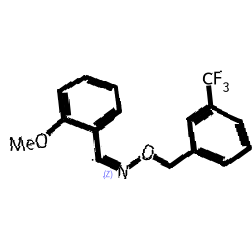 COc1ccccc1/[C]=N\OCc1cccc(C(F)(F)F)c1